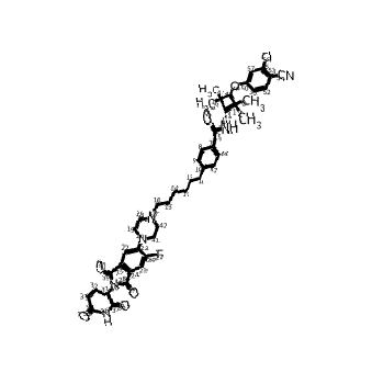 CC1(C)[C@H](NC(=O)c2ccc(CCCCCCN3CCN(c4cc5c(cc4F)C(=O)N(C4CCC(=O)NC4=O)C5=O)CC3)cc2)C(C)(C)[C@H]1Oc1ccc(C#N)c(Cl)c1